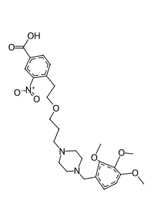 COc1ccc(CN2CCN(CCCOCCc3ccc(C(=O)O)cc3[N+](=O)[O-])CC2)c(OC)c1OC